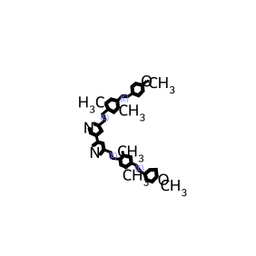 COc1ccc(/C=C/c2cc(C)c(/C=C/c3cncc(-c4cncc(/C=C/c5cc(C)c(/C=C/c6ccc(OC)cc6)cc5C)c4)c3)cc2C)cc1